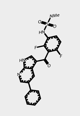 CNS(=O)(=O)Nc1ccc(F)c(C(=O)c2c[nH]c3ncc(-c4ccccc4)cc23)c1F